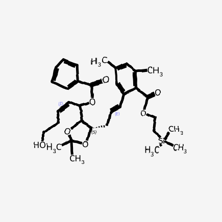 Cc1cc(C)c(C(=O)OCC[Si](C)(C)C)c(/C=C/C[C@@H]2OC(C)(C)OC2C(/C=C\CCO)OC(=O)c2ccccc2)c1